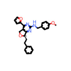 COc1ccc(CNc2nc(-c3ccco3)c3c(n2)[C@@H](CCc2ccccc2)OC3)cc1